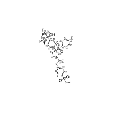 CCS(=O)(=O)c1ccc(CC(=O)N2CC[C@](c3ccc(C(O)(C(F)(F)F)C(F)(F)F)cc3)(S(=O)(=O)c3ccc(F)cc3)C2)cc1